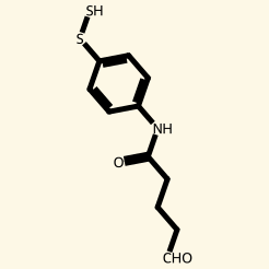 O=CCCCC(=O)Nc1ccc(SS)cc1